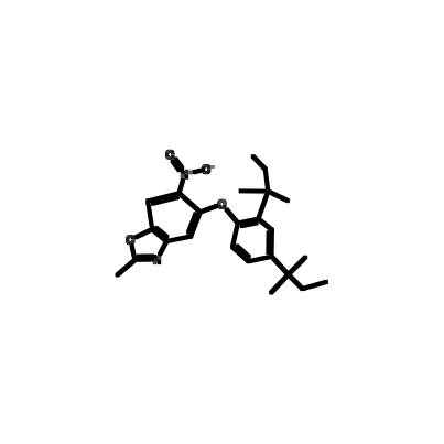 CCC(C)(C)c1ccc(Oc2cc3nc(C)oc3cc2[N+](=O)[O-])c(C(C)(C)CC)c1